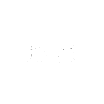 CN1C[C@@H](c2cccc(O)c2)OC1(C)C